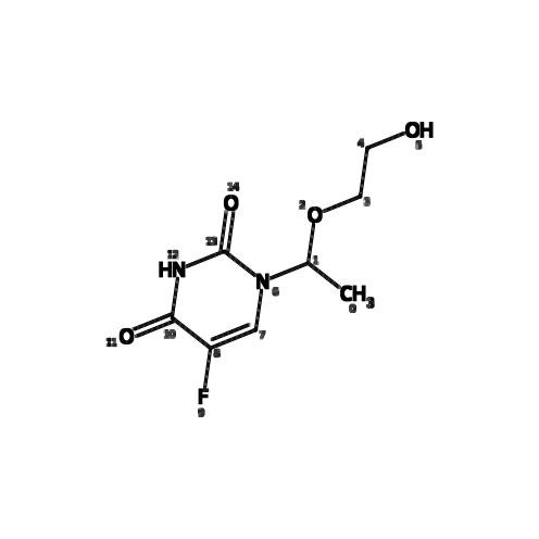 CC(OCCO)n1cc(F)c(=O)[nH]c1=O